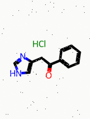 Cl.O=C(Cc1c[nH]cn1)c1ccccc1